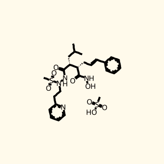 CC(C)C[C@@H](C(=O)NN(CCc1ccccn1)S(C)(=O)=O)[C@H](CC=Cc1ccccc1)C(=O)NO.CS(=O)(=O)O